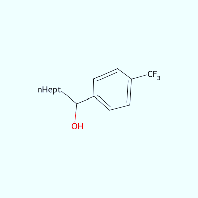 CCCCCCCC(O)c1ccc(C(F)(F)F)cc1